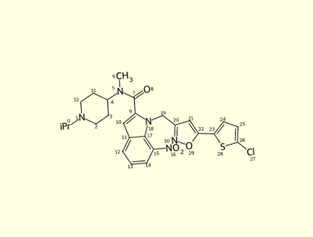 CC(C)N1CCC(N(C)C(=O)c2cc3cccc([N+](=O)[O-])c3n2Cc2cc(-c3ccc(Cl)s3)on2)CC1